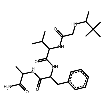 CC(NC(=O)C(Cc1ccccc1)NC(=O)C(NC(=O)CNC(C)C(C)(C)C)C(C)C)C(N)=O